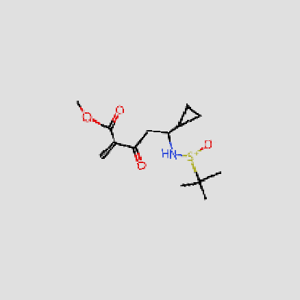 C=C(C(=O)CC(N[S+]([O-])C(C)(C)C)C1CC1)C(=O)OC